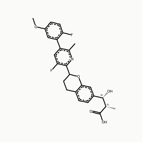 COc1ccc(F)c(-c2cc(F)c(C3CCc4ccc([C@H](O)[C@H](C)C(=O)O)cc4O3)nc2C)c1